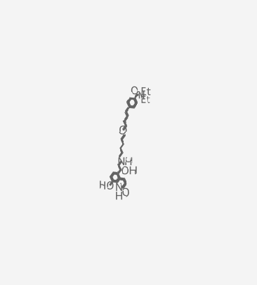 CCN(CC)C(=O)c1ccc(CCCCOCCCCCCNCC(O)c2ccc(O)c3[nH]c(=O)ccc23)cc1